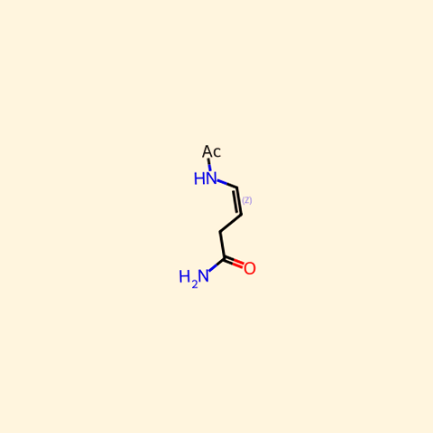 CC(=O)N/C=C\CC(N)=O